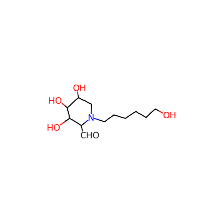 O=CC1C(O)C(O)C(O)CN1CCCCCCO